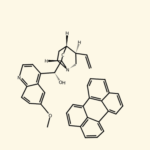 C=C[C@H]1C[N@]2CC[C@H]1C[C@H]2[C@H](O)c1ccnc2ccc(OC)cc12.c1cc2cccc3c4cccc5cccc(c(c1)c23)c54